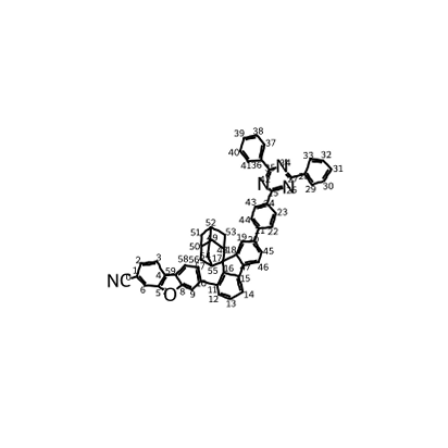 N#Cc1ccc2c(c1)oc1cc(-c3cccc4c3C3(c5cc(-c6ccc(-c7nc(-c8ccccc8)nc(-c8ccccc8)n7)cc6)ccc5-4)C4CC5CC(C4)CC3C5)ccc12